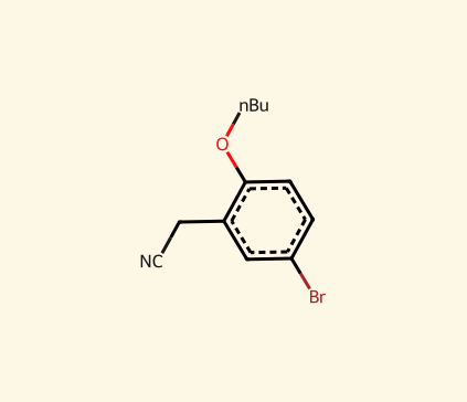 CCCCOc1ccc(Br)cc1CC#N